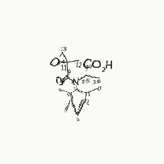 Cc1cccc(C)c1N(C(=O)C1(C)CO1)[C@@H](C)C(=O)O